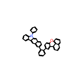 c1ccc(-n2c3ccccc3c3cc4cc(-c5ccccc5-c5ccc6c(c5)-c5cccc7cccc(c57)O6)ccc4cc32)cc1